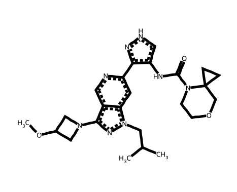 COC1CN(c2nn(CC(C)C)c3cc(-c4n[nH]cc4NC(=O)N4CCOCC45CC5)ncc23)C1